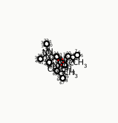 CC1(C)c2ccccc2-c2ccc3c(c21)c1ccccc1n3-c1ccc(-c2nc(-c3ccccc3)nc(-c3ccccc3)n2)c(-c2cccc(C(F)(F)F)c2-n2c3ccccc3c3c4c(ccc32)-c2ccccc2C4(C)C)c1